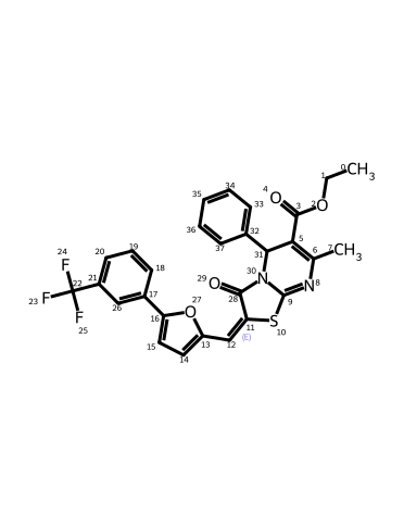 CCOC(=O)C1=C(C)N=c2s/c(=C/c3ccc(-c4cccc(C(F)(F)F)c4)o3)c(=O)n2C1c1ccccc1